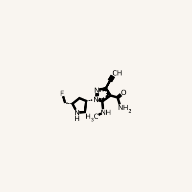 C#Cc1nn([C@@H]2CN[C@H](CF)C2)c(NC)c1C(N)=O